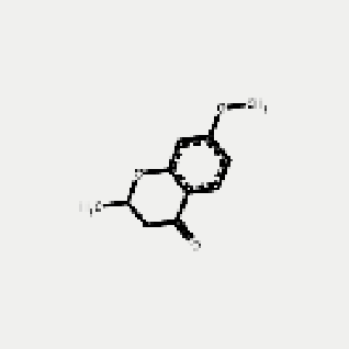 COc1ccc2c(c1)OC(C)CC2=O